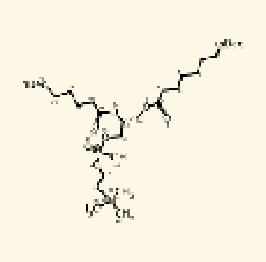 CCCCCCCCCCCCCCCCC(=O)OC[C@H](COP(=O)(O)OCC[N+](C)(C)C)OC(=O)CCCCCCCCCCCCCC